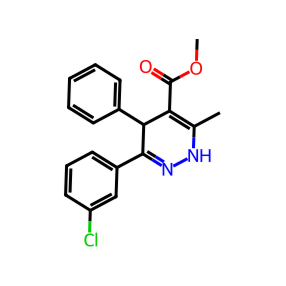 COC(=O)C1=C(C)NN=C(c2cccc(Cl)c2)C1c1ccccc1